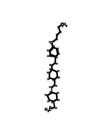 CCCCCOc1ccc(CCC2CCC(CC[C@H]3CC[C@H](CC)CC3)CC2)nc1